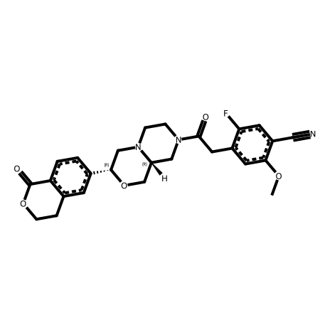 COc1cc(CC(=O)N2CCN3C[C@@H](c4ccc5c(c4)CCOC5=O)OC[C@H]3C2)c(F)cc1C#N